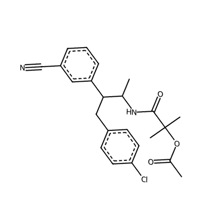 CC(=O)OC(C)(C)C(=O)NC(C)C(Cc1ccc(Cl)cc1)c1cccc(C#N)c1